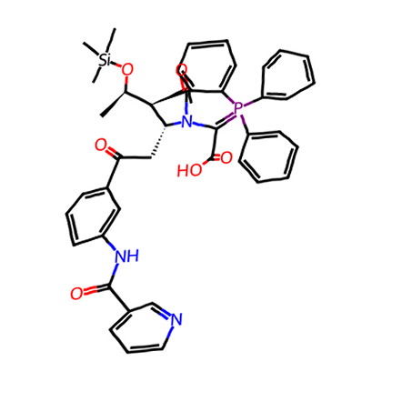 C[C@@H](O[Si](C)(C)C)[C@H]1C(=O)N(C(C(=O)O)=P(c2ccccc2)(c2ccccc2)c2ccccc2)[C@@H]1CC(=O)c1cccc(NC(=O)c2cccnc2)c1